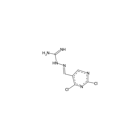 N=C(N)NN=Cc1cnc(Cl)nc1Cl